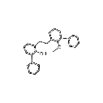 COc1c(CCc2cccc(-c3ccccc3)c2O)cccc1-c1ccccc1